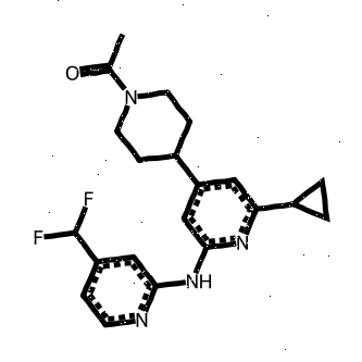 CC(=O)N1CCC(c2cc(Nc3cc(C(F)F)ccn3)nc(C3CC3)c2)CC1